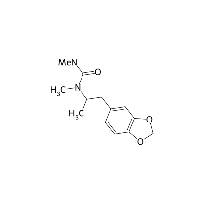 CNC(=O)N(C)C(C)Cc1ccc2c(c1)OCO2